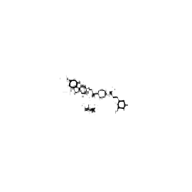 O=C(/C=C/c1cc(F)cc(F)c1)N1CCC(C(O)CN2CCC3(CC2)CNc2cc(Cl)cc(Cl)c23)CC1.O=C(O)C(F)(F)F